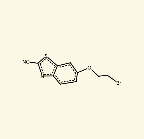 N#Cc1nc2ccc(OCCBr)cc2s1